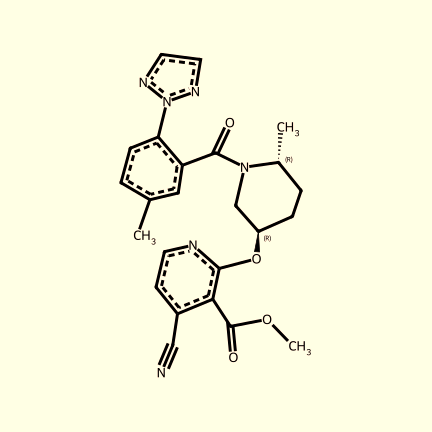 COC(=O)c1c(C#N)ccnc1O[C@@H]1CC[C@@H](C)N(C(=O)c2cc(C)ccc2-n2nccn2)C1